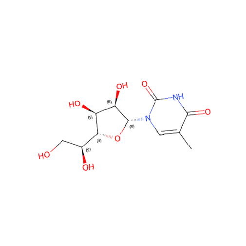 Cc1cn([C@@H]2O[C@H]([C@@H](O)CO)[C@@H](O)[C@H]2O)c(=O)[nH]c1=O